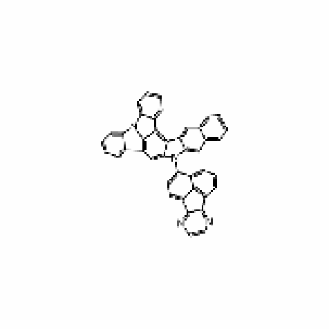 c1ccc2cc3c(cc2c1)c1c2c4ccccc4n4c5ccccc5c(cc1n3-c1ccc3c5c(cccc15)-c1nccnc1-3)c24